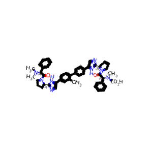 Cc1cc(-c2cnc([C@@H]3CCCN3C(=O)[C@@H](c3ccccc3)N(C)C)[nH]2)ccc1-c1ccc(-c2cnc([C@@H]3CCCN3C(=O)[C@@H](c3ccccc3)N(C)C(=O)O)[nH]2)cc1